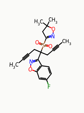 CC#CCC(CC#CC)(c1noc2cc(F)ccc12)S(=O)(=O)C1=NOC(C)(C)C1